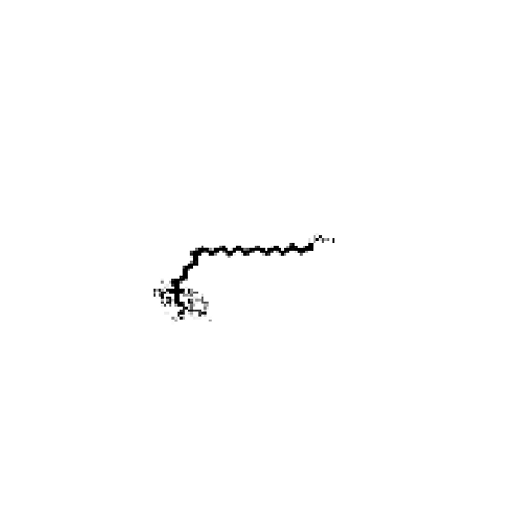 CCCCC/C=C\CCCCCCCCCC/C=C\CCCCC(O)(C[N+](C)(C)C)P(=O)(O)O